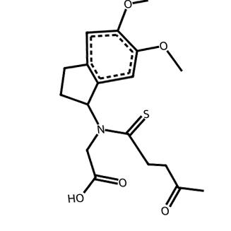 COc1cc2c(cc1OC)C(N(CC(=O)O)C(=S)CCC(C)=O)CC2